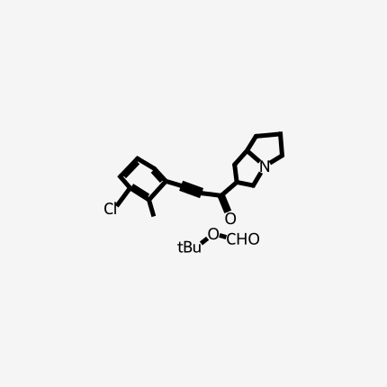 CC(C)(C)OC=O.Cc1c(Cl)cccc1C#CC(=O)C1CC2CCCN2C1